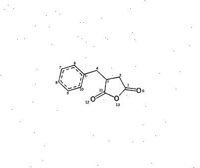 O=C1CC(Cc2ccccc2)C(=O)O1